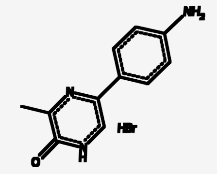 Br.Cc1nc(-c2ccc(N)cc2)c[nH]c1=O